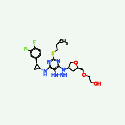 CCCSc1nc(N[C@@H]2C[C@H]2c2ccc(F)c(F)c2)c2c(n1)N([C@H]1CO[C@@H](COCCO)C1)NN2